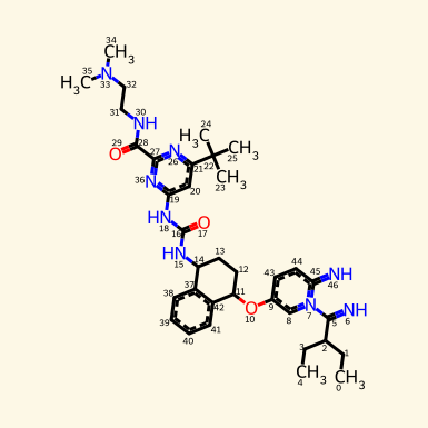 CCC(CC)C(=N)n1cc(OC2CCC(NC(=O)Nc3cc(C(C)(C)C)nc(C(=O)NCCN(C)C)n3)c3ccccc32)ccc1=N